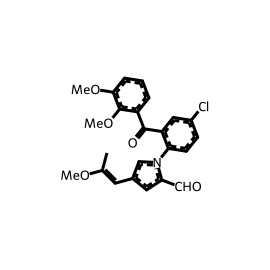 COC(C)=Cc1cc(C=O)n(-c2ccc(Cl)cc2C(=O)c2cccc(OC)c2OC)c1